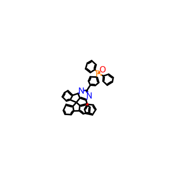 O=P(c1ccccc1)(c1ccccc1)c1ccc(-c2nc(-c3ccccc3)c3c(n2)-c2ccccc2C32c3ccccc3-c3ccccc32)cc1